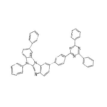 c1ccc(-c2ccc3c(c2)n2c4cc(-c5ccc(-c6nc(-c7ccccc7)nc(-c7ccccc7)n6)cc5)ccc4nc2n3-c2ccccc2)cc1